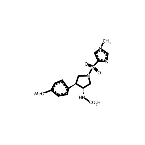 COc1ccc([C@H]2CN(S(=O)(=O)c3cn(C)cn3)C[C@@H]2NC(=O)O)cc1